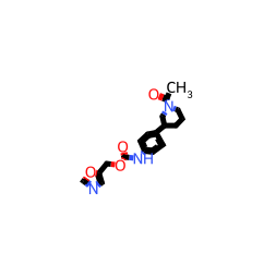 CC(=O)N1CCCC(c2ccc(NC(=O)OCc3cnco3)cc2)C1